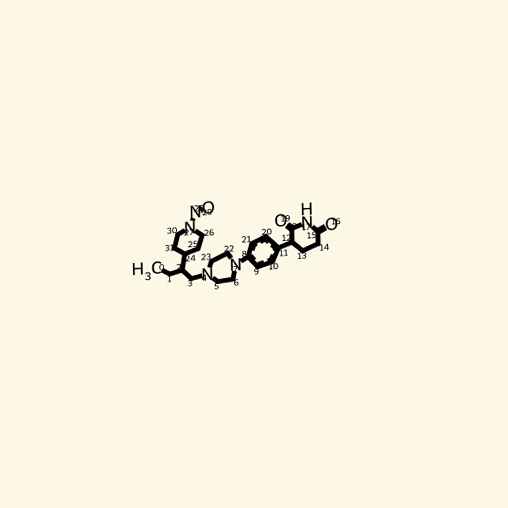 CCC(CN1CCN(c2ccc(C3CCC(=O)NC3=O)cc2)CC1)C1CCN(N=O)CC1